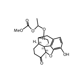 COC(=O)OC(C)ON1CC[C@]23c4c5ccc(O)c4O[C@@]2(C)C(=O)CC[C@H]3C1C5